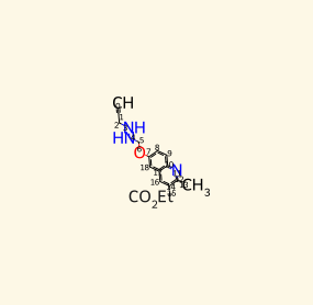 C#CCNNCOc1ccc2nc(C)c(C(=O)OCC)cc2c1